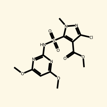 COC(=O)c1c(Cl)nn(C)c1S(=O)(=O)Nc1nc(OC)cc(OC)n1